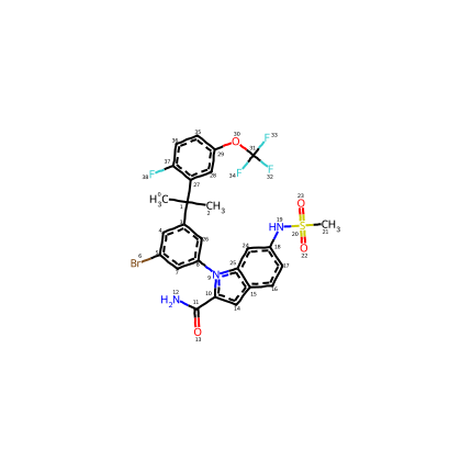 CC(C)(c1cc(Br)cc(-n2c(C(N)=O)cc3ccc(NS(C)(=O)=O)cc32)c1)c1cc(OC(F)(F)F)ccc1F